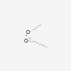 CCCCCCCCCC(=O)NS(=O)(=O)c1ccccc1NC(=O)c1cccc(OCCCCCCC)c1